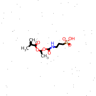 C=C(C)C(=O)OC(C)OC(=O)NCCCS(=O)(=O)O